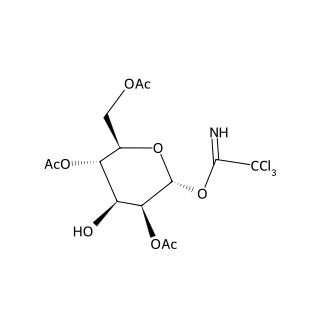 CC(=O)OC[C@H]1O[C@H](OC(=N)C(Cl)(Cl)Cl)[C@@H](OC(C)=O)[C@@H](O)[C@@H]1OC(C)=O